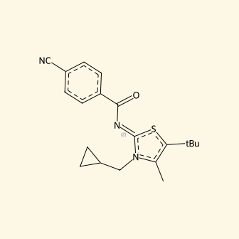 Cc1c(C(C)(C)C)s/c(=N\C(=O)c2ccc(C#N)cc2)n1CC1CC1